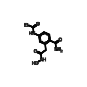 CCC(=O)Nc1ccc(C(N)=O)c(CC(=O)NO)c1